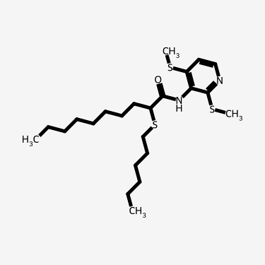 CCCCCCCCC(SCCCCCC)C(=O)Nc1c(SC)ccnc1SC